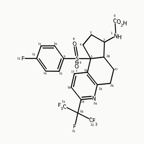 O=C(O)NC1CCC2(S(=O)(=O)c3ccc(F)cc3)c3ccc(C(F)(C(F)(F)F)C(F)(F)F)nc3CCC12